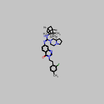 Cc1ccc(CCn2cnc3cc(N=C(N[C@H]4C[C@H]5C[C@H]([C@H]4C)C5(C)C)N4CCN5CCC[C@@H]5C4)ccc3c2=O)c(F)c1